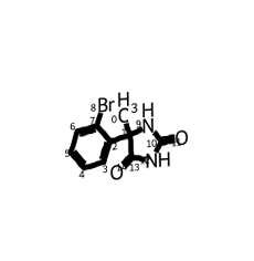 CC1(c2ccccc2Br)NC(=O)NC1=O